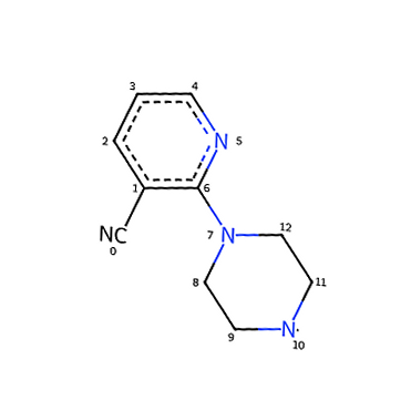 N#Cc1cccnc1N1CC[N]CC1